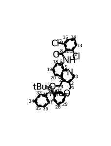 COCc1cnc2c(NC(=O)c3c(Cl)cccc3Cl)cccc2c1CO[Si](c1ccccc1)(c1ccccc1)C(C)(C)C